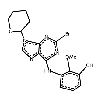 COc1c(O)cccc1Nc1nc(Br)nc2c1ncn2C1CCCCO1